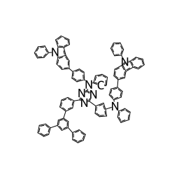 c1ccc(-c2cc(-c3ccccc3)cc(-c3cccc(-c4nc(-c5cccc(N(c6ccccc6)c6ccc(-c7ccc8c(c7)c7ccccc7n8-c7ccccc7)cc6)c5)nc(N(c5ccccc5)c5ccc(-c6ccc7c(c6)c6ccccc6n7-c6ccccc6)cc5)n4)c3)c2)cc1